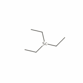 C[CH2][Sc]([CH2]C)[CH2]C